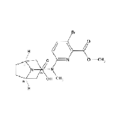 COC(=O)c1nc(N(C)[C@@H]2C[C@H]3CC[C@@H](C2)N3C(=O)O)ccc1Br